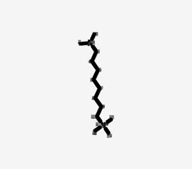 CN(C)CCCCCCCC[N+](C)(C)C